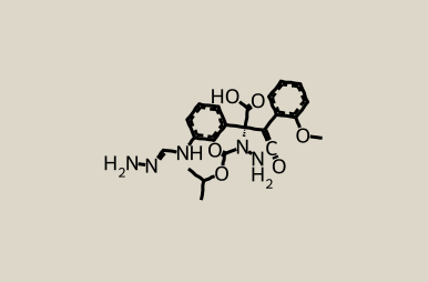 COc1ccccc1C(=C=O)[C@](C(=O)O)(c1cccc(NC=NN)c1)N(N)C(=O)OC(C)C